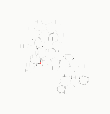 CC[C@H](C)[C@@H]([C@@H](CC(=O)N1CCC[C@H]1[C@H](OC)[C@@H](C)C(=O)N[C@@H](Cc1ccccc1)c1nccs1)OC)N(C)C(=O)[C@@H](NC(=O)[C@H](C(C)C)N(C)C(=O)OC(C)C(=O)N1CCN(C)CC1)C(C)C